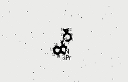 CC(C)c1ncc(CN2CCCC3(CC3)C2)c2ccccc12